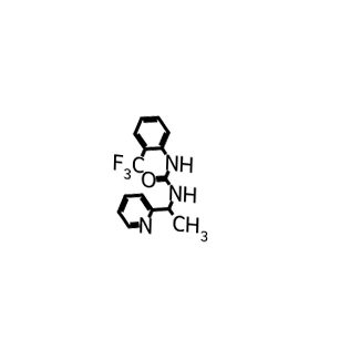 CC(NC(=O)Nc1ccccc1C(F)(F)F)c1ccccn1